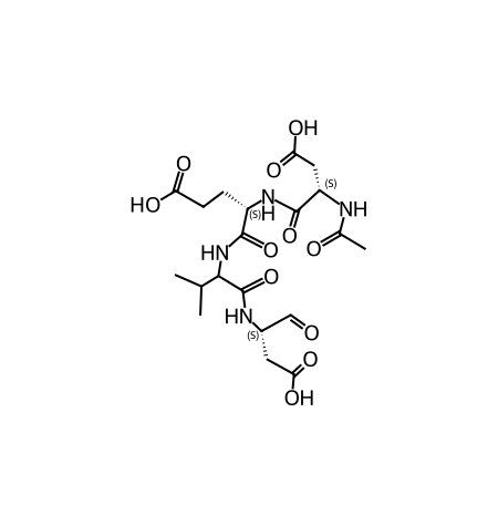 CC(=O)N[C@@H](CC(=O)O)C(=O)N[C@@H](CCC(=O)O)C(=O)NC(C(=O)N[C@H](C=O)CC(=O)O)C(C)C